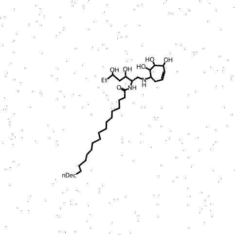 CCCCCCCCCCCCCCCCCCCCCCCCCC(=O)NC(CNC1CC=CC(O)C(O)C1O)C(O)CC(O)CC